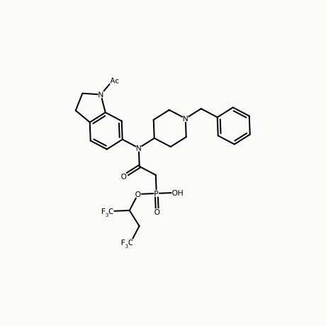 CC(=O)N1CCc2ccc(N(C(=O)CP(=O)(O)OC(CC(F)(F)F)C(F)(F)F)C3CCN(Cc4ccccc4)CC3)cc21